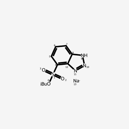 CC(C)COS(=O)(=O)c1cccc2[nH]nnc12.[Na]